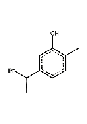 Cc1ccc(C(C)C(C)C)cc1O